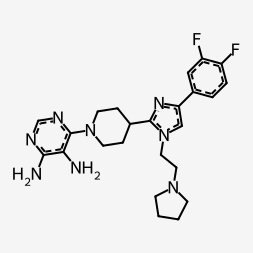 Nc1ncnc(N2CCC(c3nc(-c4ccc(F)c(F)c4)cn3CCN3CCCC3)CC2)c1N